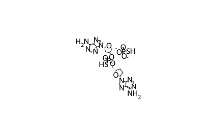 COP(=O)(S)OC[C@H]1O[C@@H](n2cnc3c(N)ncnc32)C[C@@H]1OP(=O)(S)OC[C@@H]1CC[C@H](n2cnc3c(N)ncnc32)O1